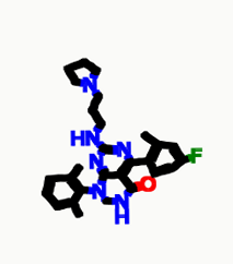 Cc1cc(F)ccc1-c1nc(NCCCN2CCCC2)nc2c1C(=O)NCN2c1c(C)cccc1C